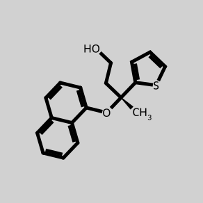 C[C@](CCO)(Oc1cccc2ccccc12)c1cccs1